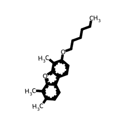 CCCCCCOc1ccc2c(oc3c(C)c(C)ccc32)c1C